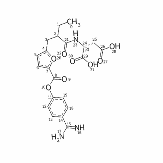 CCC(Cc1ccc(C(=O)Oc2ccc(C(=N)N)cc2)o1)C(=O)N[C@H](CC(=O)O)C(=O)O